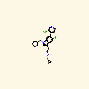 Fc1cc2c(CCNSC3CC3)cn(CC3CCCC3)c2cc1-c1ccncc1Cl